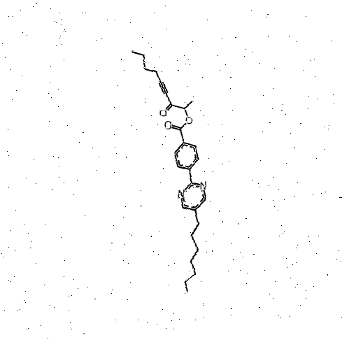 CCCCC#CC(=O)C(C)OC(=O)c1ccc(-c2ncc(CCCCCCC)cn2)cc1